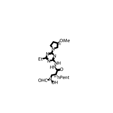 CCCCC[C@H](CN(O)C=O)C(=O)NNc1nc(CC)nc(N2CC[C@@H](OC)C2)n1